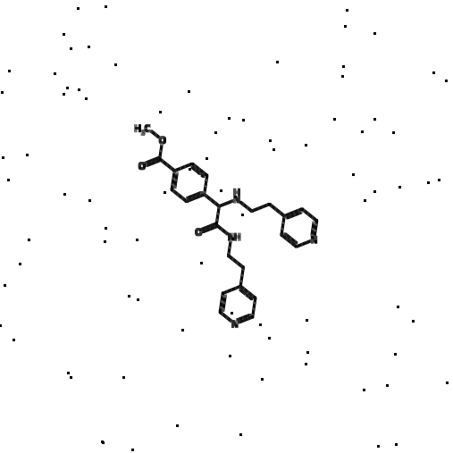 COC(=O)c1ccc(C(NCCc2ccncc2)C(=O)NCCc2ccncc2)cc1